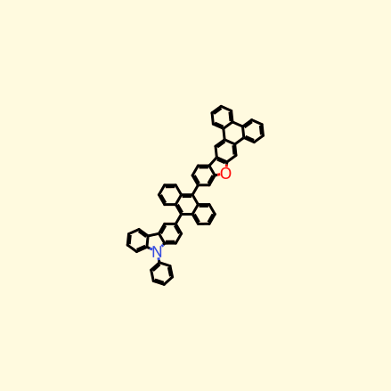 c1ccc(-n2c3ccccc3c3cc(-c4c5ccccc5c(-c5ccc6c(c5)oc5cc7c8ccccc8c8ccccc8c7cc56)c5ccccc45)ccc32)cc1